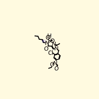 CCC/C=C/N(C(=O)c1cn(Cc2ccc(N(C=O)OCC)cc2Cl)c(C)n1)[SH](=O)=O